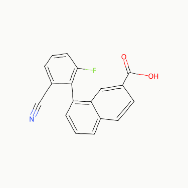 N#Cc1cccc(F)c1-c1cccc2ccc(C(=O)O)cc12